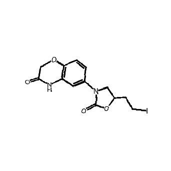 O=C1COc2ccc(N3CC(CCI)OC3=O)cc2N1